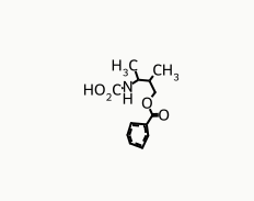 CC(COC(=O)c1ccccc1)C(C)NC(=O)O